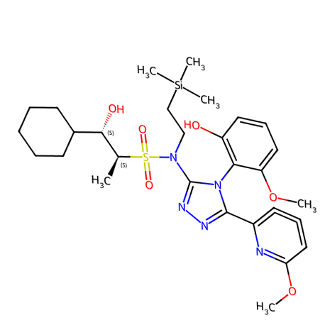 COC1=NC(c2nnc(N(CC[Si](C)(C)C)S(=O)(=O)[C@@H](C)[C@@H](O)C3CCCCC3)n2-c2c(O)cccc2OC)=C=C=C1